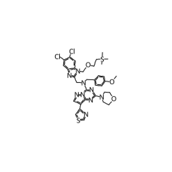 COc1ccc(CN(Cc2nc3cc(Cl)c(Cl)cc3n2COCCS(C)(C)C)c2nc(N3CCOCC3)nc3c(-c4cscn4)cnn23)cc1